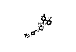 COc1cccc(F)c1-c1cc(C)ncc1C(=O)Nc1nnc(OCC23CC(O[Si](C)(C)C(C)(C)C)(C2)C3)s1